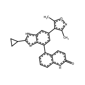 Cc1noc(C)c1-c1cc(-c2cccc3[nH]c(=O)ccc23)c2nc(C3CC3)[nH]c2c1